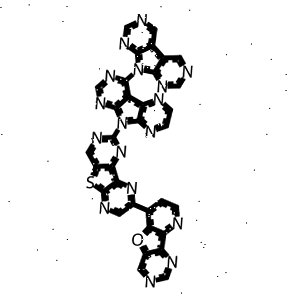 c1ncc2oc3c(-c4cnc5sc6cnc(-n7c8nccnc8c8c(-n9c%10ncncc%10c%10cncnc%109)ncnc87)nc6c5n4)ccnc3c2n1